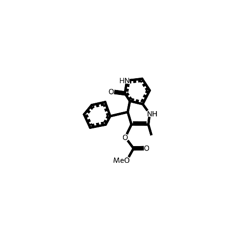 COC(=O)OC1=C(C)Nc2cc[nH]c(=O)c2C1c1ccccc1